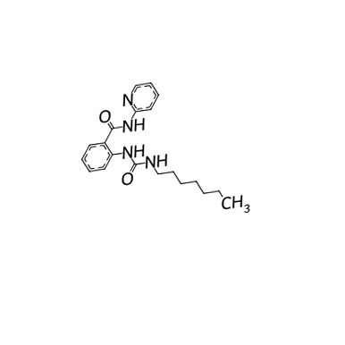 CCCCCCCNC(=O)Nc1ccccc1C(=O)Nc1ccccn1